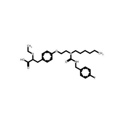 CCCCCCN(CCOc1ccc(CC(OCC)C(=O)O)cc1)C(=O)NCc1ccc(F)cc1